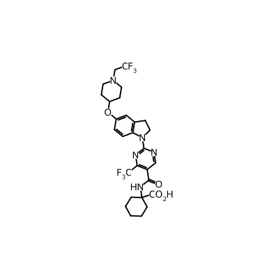 O=C(NC1(C(=O)O)CCCCC1)c1cnc(N2CCc3cc(OC4CCN(CC(F)(F)F)CC4)ccc32)nc1C(F)(F)F